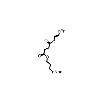 CCCC=COC(=O)CCC(=O)OCCCCCCCCCCCC